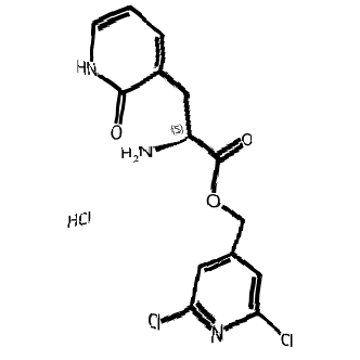 Cl.N[C@@H](Cc1ccc[nH]c1=O)C(=O)OCc1cc(Cl)nc(Cl)c1